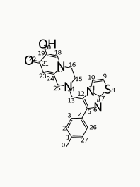 Cc1ccc(-c2nc3sccn3c2CN2CCn3cc(O)c(=O)cc3C2)cc1